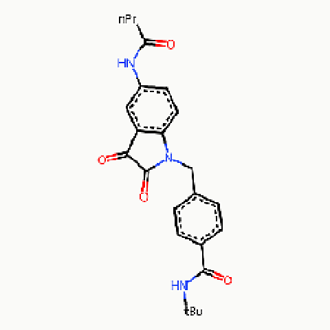 CCCC(=O)Nc1ccc2c(c1)C(=O)C(=O)N2Cc1ccc(C(=O)NC(C)(C)C)cc1